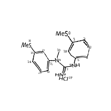 CSc1cccc(NC(=N)N(C)c2cccc(SC)c2)c1.Cl